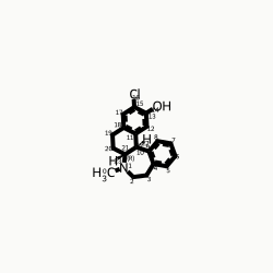 CN1CCc2ccccc2[C@@H]2c3cc(O)c(Cl)cc3CC[C@H]21